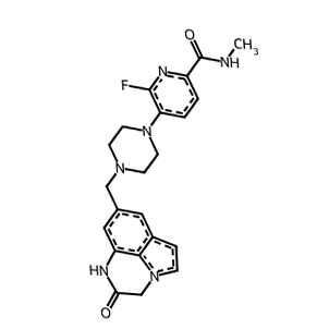 CNC(=O)c1ccc(N2CCN(Cc3cc4c5c(ccn5CC(=O)N4)c3)CC2)c(F)n1